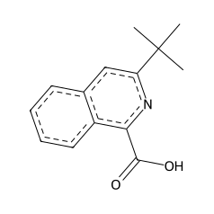 CC(C)(C)c1cc2ccccc2c(C(=O)O)n1